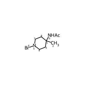 CC(=O)NC1(C)CCN(Br)CC1